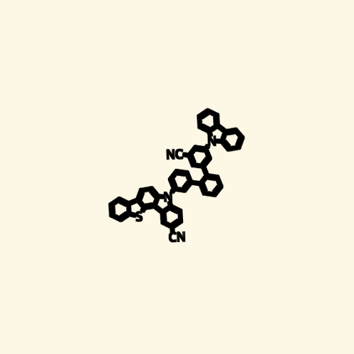 N#Cc1cc(-c2ccccc2-c2cccc(-n3c4ccc(C#N)cc4c4c5sc6ccccc6c5ccc43)c2)cc(-n2c3ccccc3c3ccccc32)c1